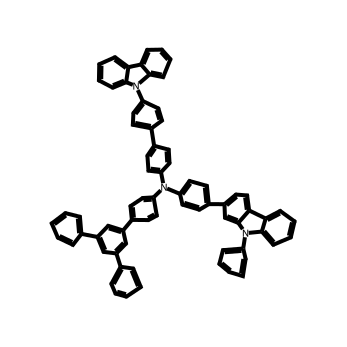 c1ccc(-c2cc(-c3ccccc3)cc(-c3ccc(N(c4ccc(-c5ccc(-n6c7ccccc7c7ccccc76)cc5)cc4)c4ccc(-c5ccc6c7ccccc7n(-c7ccccc7)c6c5)cc4)cc3)c2)cc1